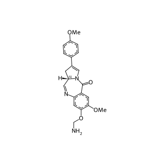 COc1ccc(C2=CN3C(=O)c4cc(OC)c(OCN)cc4N=C[C@@H]3C2)cc1